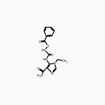 CCn1cnc(C(N)=O)c1NC(=O)NSC(=O)c1ccccc1